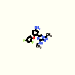 CCNc1nc(-c2cc(N)ccc2Oc2ccc(F)cc2F)cn2c(C)nnc12